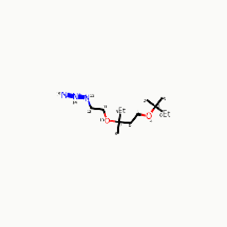 CCC(C)(C)OCCC(C)(CC)OCCN=[N+]=[N-]